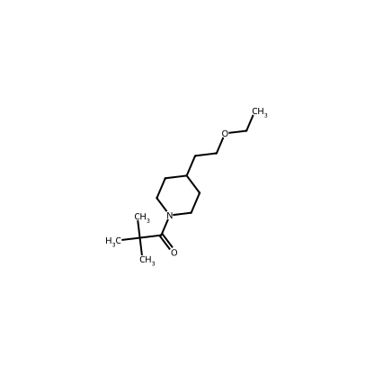 CCOCCC1CCN(C(=O)C(C)(C)C)CC1